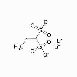 CCC(S(=O)(=O)[O-])S(=O)(=O)[O-].[Li+].[Li+]